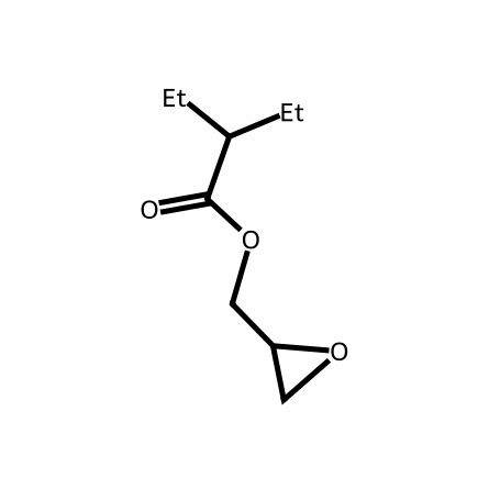 CCC(CC)C(=O)OCC1CO1